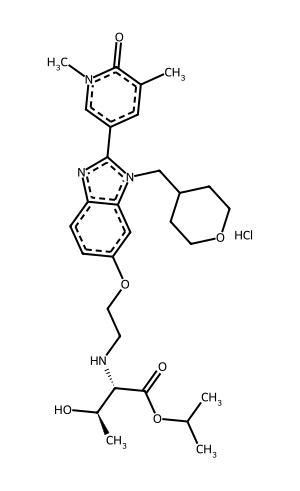 Cc1cc(-c2nc3ccc(OCCN[C@H](C(=O)OC(C)C)[C@@H](C)O)cc3n2CC2CCOCC2)cn(C)c1=O.Cl